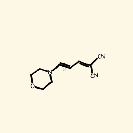 N#CC(C#N)=C/C=C/N1CCOCC1